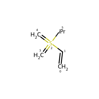 C=CS(=C)(=C)C(C)C